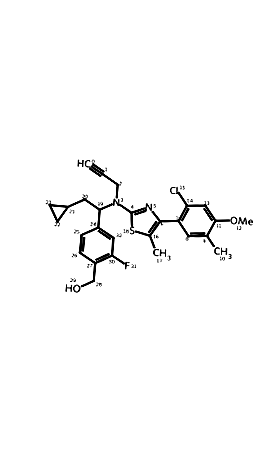 C#CCN(c1nc(-c2cc(C)c(OC)cc2Cl)c(C)s1)C(CC1CC1)c1ccc(CO)c(F)c1